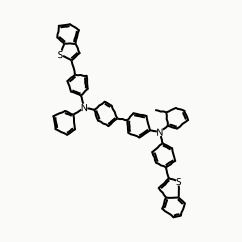 CC1CC=CC=C1N(c1ccc(-c2ccc(N(c3ccccc3)c3ccc(-c4cc5ccccc5s4)cc3)cc2)cc1)c1ccc(-c2cc3ccccc3s2)cc1